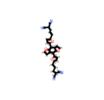 N#CC(C#N)=C/C=C/c1ccc(-c2c3ccoc3c(-c3ccc(/C=C/C=C(C#N)C#N)o3)c3ccoc23)o1